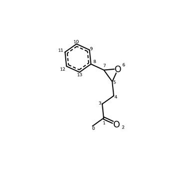 CC(=O)CCC1OC1c1ccccc1